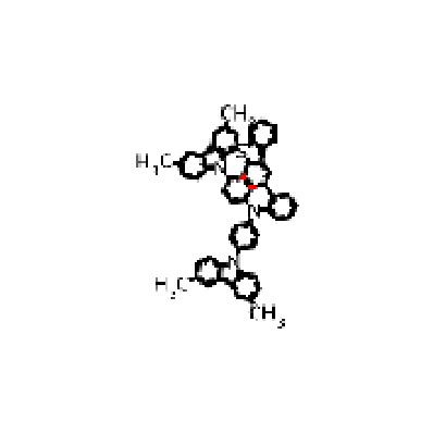 Cc1ccc2c(c1)c1cc(C)ccc1n2-c1ccc(N(c2ccc(-n3c4ccc(C)cc4c4cc(C)ccc43)cc2)c2ccccc2-c2ccc3sc4ccccc4c3c2)cc1